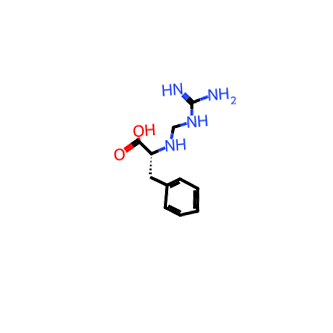 N=C(N)NCN[C@H](Cc1ccccc1)C(=O)O